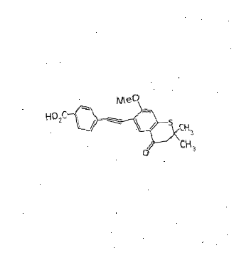 COc1cc2c(cc1C#Cc1ccc(C(=O)O)cc1)C(=O)CC(C)(C)S2